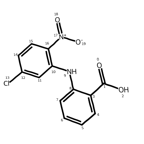 O=C(O)c1ccccc1Nc1cc(Cl)ccc1[N+](=O)[O-]